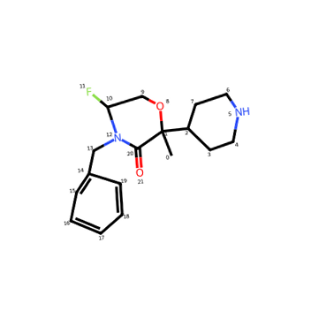 CC1(C2CCNCC2)OCC(F)N(Cc2ccccc2)C1=O